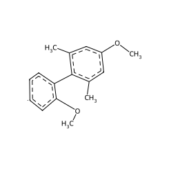 COc1cc(C)c(-c2cc[c]cc2OC)c(C)c1